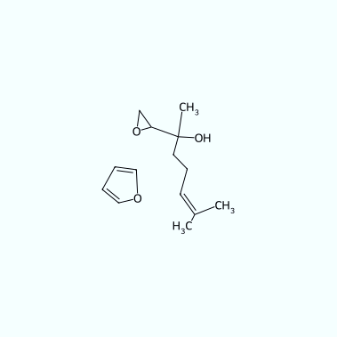 CC(C)=CCCC(C)(O)C1CO1.c1ccoc1